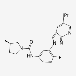 CC(C)c1cnc2nn(-c3cc(NC(=O)N4CC[C@@H](C)C4)ccc3F)cc2c1